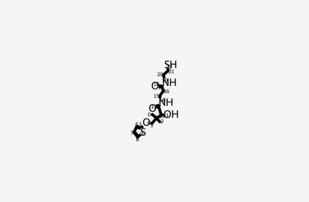 CC(C)(COc1cccs1)C(O)C(=O)NCCC(=O)NCCS